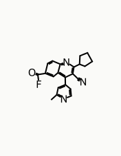 Cc1cc(-c2c(C#N)c(C3CCCC3)nc3ccc(C(=O)F)cc23)ccn1